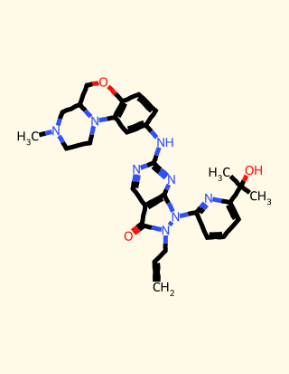 C=CCn1c(=O)c2cnc(Nc3ccc4c(c3)N3CCN(C)CC3CO4)nc2n1-c1cccc(C(C)(C)O)n1